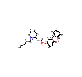 CCCCCN1CCCCC1CCOc1ccc2oc3ccccc3c2c1